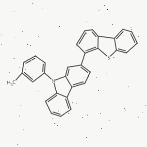 Cc1cccc(-n2c3ccccc3c3ccc(-c4cccc5c4sc4ccccc45)cc32)c1